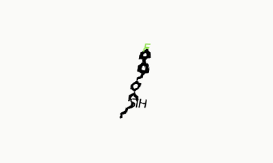 CCCCC[SiH]1CCC([C@H]2CC[C@H](CCc3ccc(-c4ccc(F)cc4)cc3)CC2)CC1